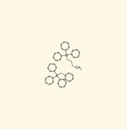 CCCC[B-](c1ccccc1)(c1ccccc1)c1ccccc1.c1ccc(C[B-](c2ccccc2)(c2ccccc2)c2ccccc2)cc1